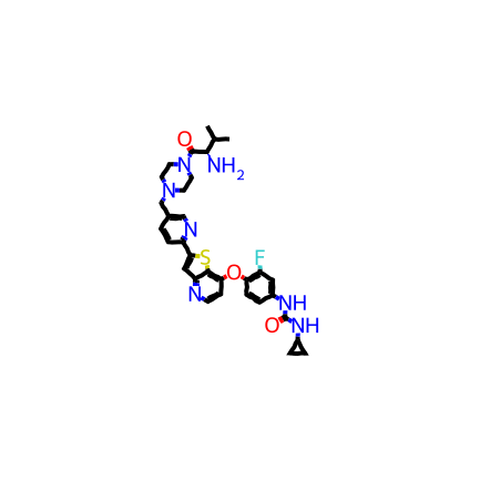 CC(C)[C@H](N)C(=O)N1CCN(Cc2ccc(-c3cc4nccc(Oc5ccc(NC(=O)NC6CC6)cc5F)c4s3)nc2)CC1